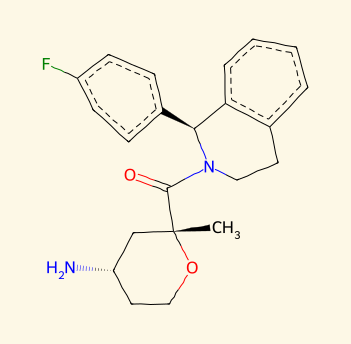 C[C@]1(C(=O)N2CCc3ccccc3[C@@H]2c2ccc(F)cc2)C[C@@H](N)CCO1